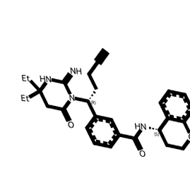 C#CCC[C@H](c1cccc(C(=O)N[C@H]2CCOc3ccccc32)c1)N1C(=N)NC(CC)(CC)CC1=O